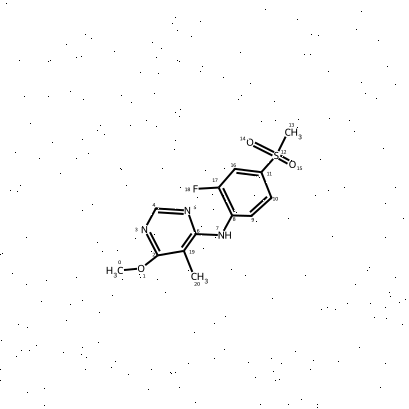 COc1ncnc(Nc2ccc(S(C)(=O)=O)cc2F)c1C